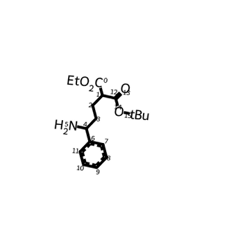 CCOC(=O)C(CCC(N)c1ccccc1)C(=O)OC(C)(C)C